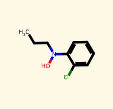 CCCN(O)c1ccccc1Cl